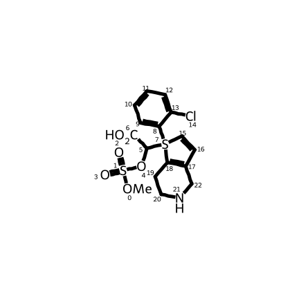 COS(=O)(=O)OC(C(=O)O)S1(c2ccccc2Cl)C=CC2=C1CCNC2